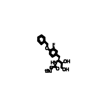 CC(C)(C)OC(=O)N[C@@H](Cc1ccc(OCc2ccccc2)c(F)c1)[C@H](O)CO